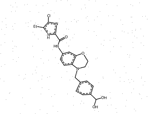 CCc1[nH]c(C(=O)Nc2ccc3c(c2)OCCN3Cc2ccc(C(O)O)cc2)nc1Cl